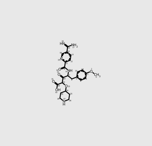 COc1ccc(CC(NC(=O)c2ccc(C(=N)N)cn2)C(=O)C(OC2CCNCC2)C(=O)O)cc1